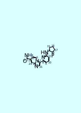 NC(=O)c1ccn2c(-c3cccc(N[C@H]4CCC[C@@H]4F)n3)cnc2c1